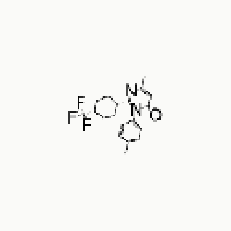 Cc1ccc(-n2c(=O)cc(C)nc2[C@H]2CC[C@@H](C(F)(F)F)CC2)cc1